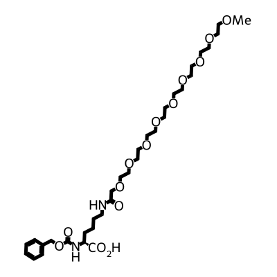 COCCOCCOCCOCCOCCOCCOCCOCCOCC(=O)NCCCC[C@H](NC(=O)OCc1ccccc1)C(=O)O